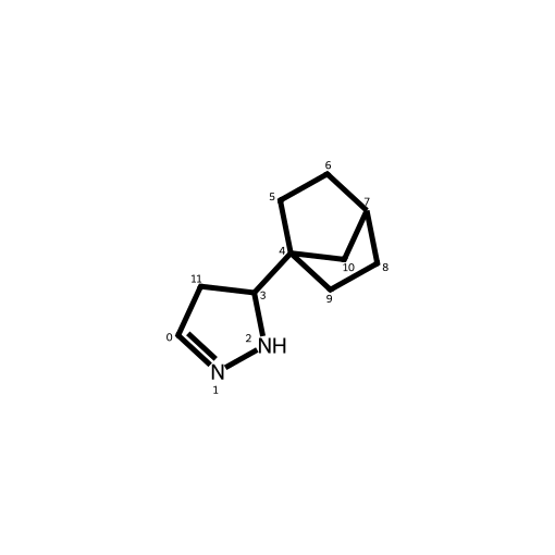 C1=NNC(C23CCC(CC2)C3)C1